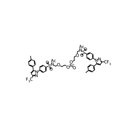 CC(=O)N(COCCO[N+](=O)OCCOCN(C(C)=O)S(=O)(=O)c1ccc(-n2nc(C(F)(F)F)cc2-c2ccc(C)cc2)cc1)S(=O)(=O)c1ccc(-n2nc(C(F)(F)F)cc2-c2ccc(C)cc2)cc1